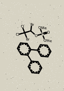 COP(=O)(OC)OC(Br)C(Cl)(Cl)Br.c1ccc(-c2ccccc2-c2ccccc2)cc1